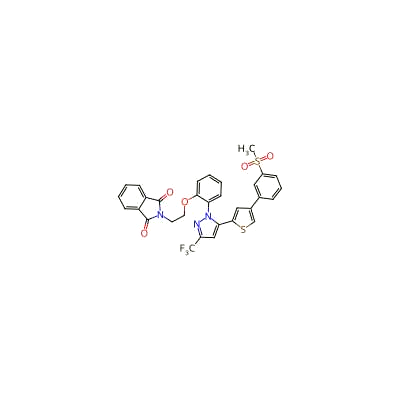 CS(=O)(=O)c1cccc(-c2csc(-c3cc(C(F)(F)F)nn3-c3ccccc3OCCN3C(=O)c4ccccc4C3=O)c2)c1